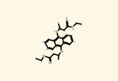 CCOC(=O)CC(C)Oc1c2ccccc2c(OC(C)CC(=O)OCC)c2ccccc12